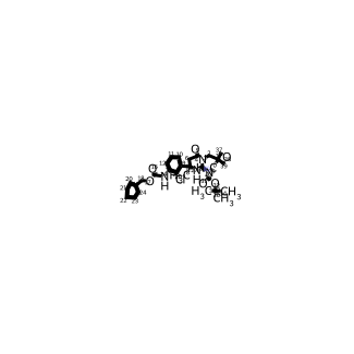 CC1(CN2C(=O)C[C@@](C)(c3cccc(NC(=O)OCc4ccccc4)c3Cl)N/C2=N\C(=O)OC(C)(C)C)COC1